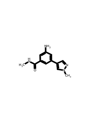 CNC(=O)c1cc(N)cc(-c2cnn(C)c2)c1